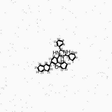 c1ccc(C2NC(c3ccccc3)NC(c3ccc(-c4ccc5ccccc5c4)c4oc5ccccc5c34)N2)cc1